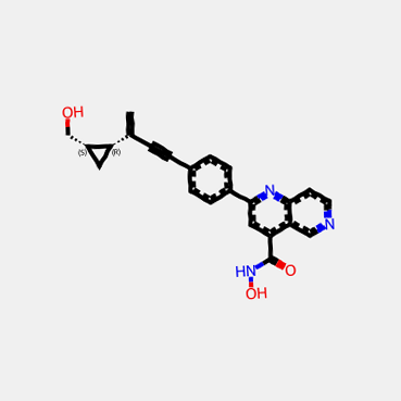 C=C(C#Cc1ccc(-c2cc(C(=O)NO)c3cnccc3n2)cc1)[C@@H]1C[C@@H]1CO